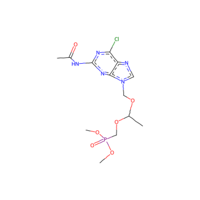 COP(=O)(COC(C)OCn1cnc2c(Cl)nc(NC(C)=O)nc21)OC